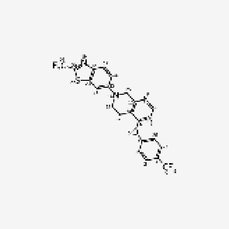 FC(F)(F)c1ccc(Oc2ncnc3c2CCN(c2ccc4nc(C(F)(F)F)sc4c2)C3)cc1